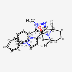 Cn1nc2c(c1-c1ccccc1)C[C@H]1CCC[C@@H]2N1C(=O)c1ccn(-c2ccccc2)n1